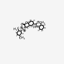 Cc1ccc(C)c(S(=O)(=O)c2cc3cc(C(=O)Nc4ccccc4C)ccc3oc2=O)c1